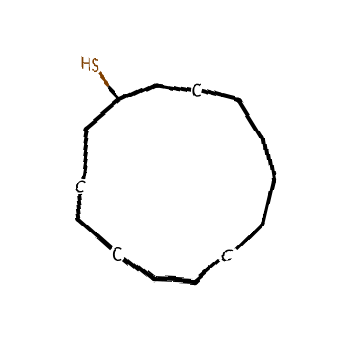 SC1CCCCCCCCCCCCC1